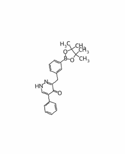 CC1(C)OB(c2cccc(Cc3n[nH]cc(-c4ccccc4)c3=O)c2)OC1(C)C